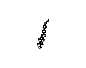 CCCCOC1CCC(C2CCC(C(=O)Oc3cc(F)c(-c4cc(F)c(C5CO5)c(F)c4)c(F)c3)CC2)CC1